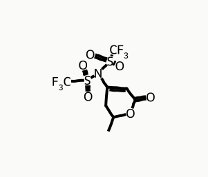 CC1CC(N(S(=O)(=O)C(F)(F)F)S(=O)(=O)C(F)(F)F)=CC(=O)O1